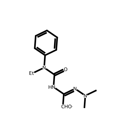 CCN(C(=O)NC([C]=O)=NN(C)C)c1ccccc1